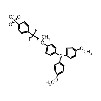 COc1ccc([S+](c2ccc(OC)cc2)c2ccc(OC)cc2)cc1.O=S(=O)([O-])c1ccc(C(F)(F)F)cc1